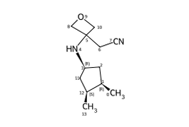 C[C@@H]1C[C@H](NC2(CC#N)COC2)C[C@@H]1C